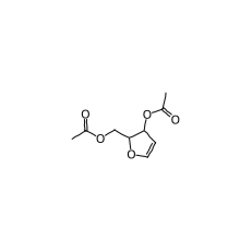 CC(=O)OCC1OC=CC1OC(C)=O